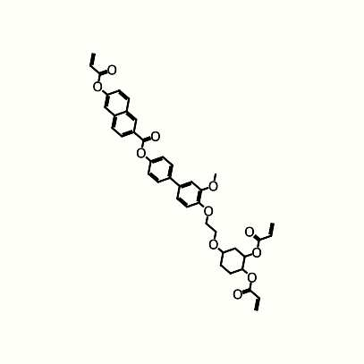 C=CC(=O)Oc1ccc2cc(C(=O)Oc3ccc(-c4ccc(OCCOC5CCC(OC(=O)C=C)C(OC(=O)C=C)C5)c(OC)c4)cc3)ccc2c1